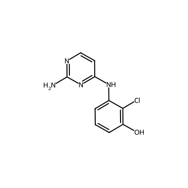 Nc1nccc(Nc2cccc(O)c2Cl)n1